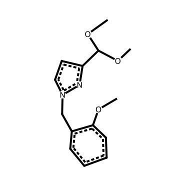 COc1ccccc1Cn1ccc(C(OC)OC)n1